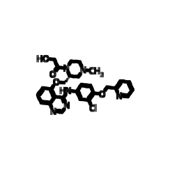 CN1CCN(C(=O)CO)[C@@H](COc2cccc3ncnc(Nc4ccc(OCc5ccccn5)c(Cl)c4)c23)C1